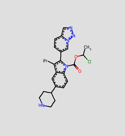 CC(Cl)OC(=O)n1c(-c2ccc3cnnn3c2)c(C(C)C)c2cc(C3CCNCC3)ccc21